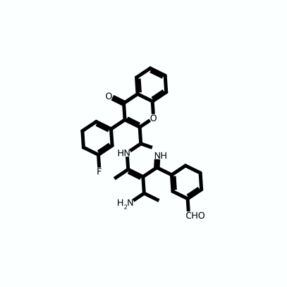 C/C(NC(C)c1oc2ccccc2c(=O)c1C1=CCCC(F)=C1)=C(/C(=N)C1=CC(C=O)=CCC1)C(C)N